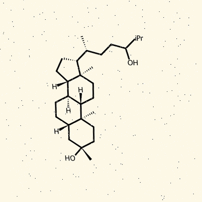 CC(C)C(O)CC[C@@H](C)[C@H]1CC[C@H]2[C@@H]3CC[C@H]4C[C@@](C)(O)CC[C@]4(C)[C@H]3CC[C@]12C